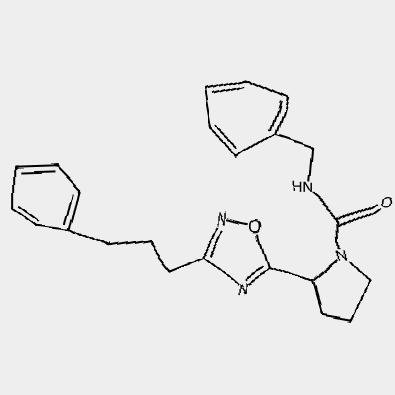 O=C(NCc1ccccc1)N1CCCC1c1nc(CCCc2ccccc2)no1